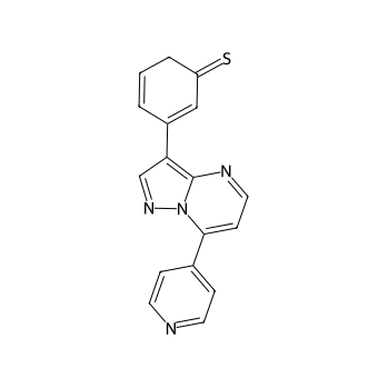 S=C1C=C(c2cnn3c(-c4ccncc4)ccnc23)C=CC1